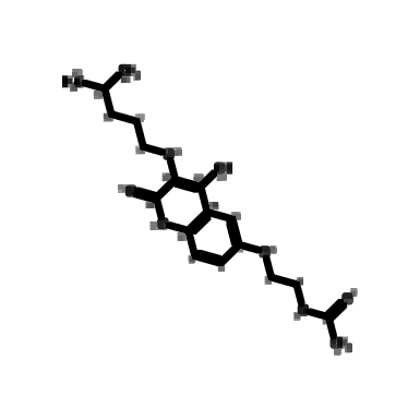 CC(=O)OCCOc1ccc2oc(=O)c(OCCCC(C)C)c(O)c2c1